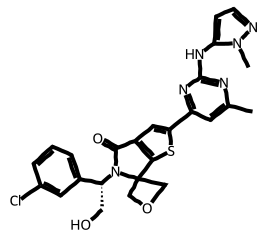 Cc1cc(-c2cc3c(s2)C2(COC2)N([C@H](CO)c2cccc(Cl)c2)C3=O)nc(Nc2ccnn2C)n1